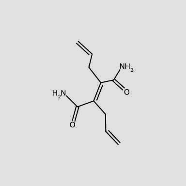 C=CCC(C(N)=O)=C(CC=C)C(N)=O